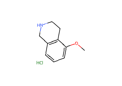 COc1cccc2c1CCNC2.Cl